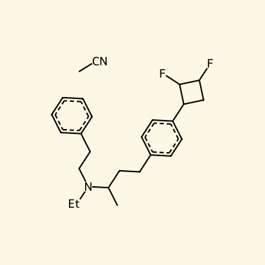 CC#N.CCN(CCc1ccccc1)C(C)CCc1ccc(C2CC(F)C2F)cc1